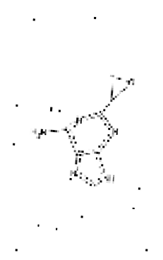 Nc1nc(C2CO2)nc2[nH]cnc12